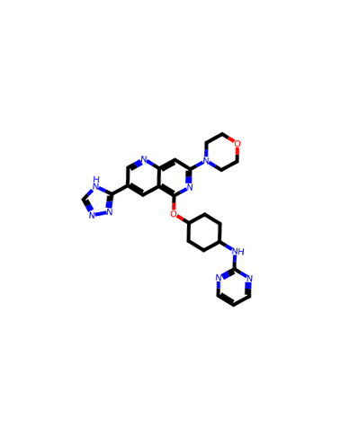 c1cnc(NC2CCC(Oc3nc(N4CCOCC4)cc4ncc(-c5nnc[nH]5)cc34)CC2)nc1